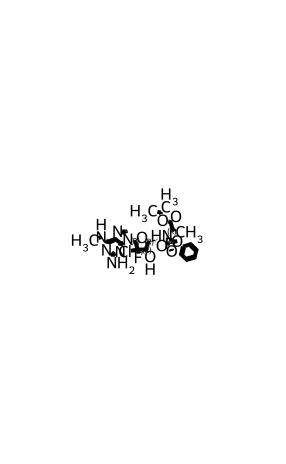 CNc1nc(N)nc2c1ncn2[C@@H]1O[C@H](CO[P@](=O)(N[C@H](C)C(=O)OC(C)C)Oc2ccccc2)[C@@H](O)[C@]1(F)Cl